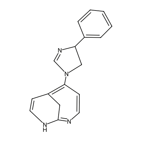 C1=CC(N2C=NC(c3ccccc3)C2)=C2C=CNC(=N1)C2